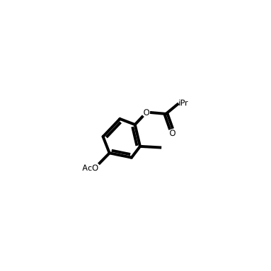 CC(=O)Oc1ccc(OC(=O)C(C)C)c(C)c1